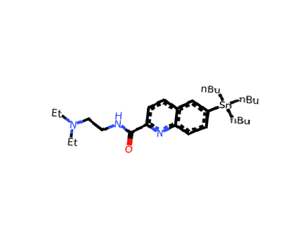 CCC[CH2][Sn]([CH2]CCC)([CH2]CCC)[c]1ccc2nc(C(=O)NCCN(CC)CC)ccc2c1